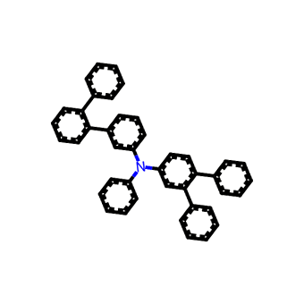 c1ccc(-c2ccccc2-c2cccc(N(c3ccccc3)c3ccc(-c4ccccc4)c(-c4ccccc4)c3)c2)cc1